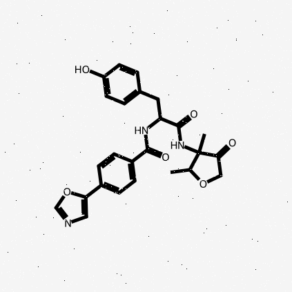 CC1OCC(=O)C1(C)NC(=O)C(Cc1ccc(O)cc1)NC(=O)c1ccc(-c2cnco2)cc1